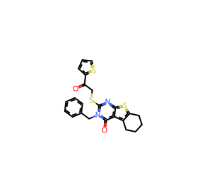 O=C(CSc1nc2sc3c(c2c(=O)n1Cc1ccccc1)CCCC3)c1cccs1